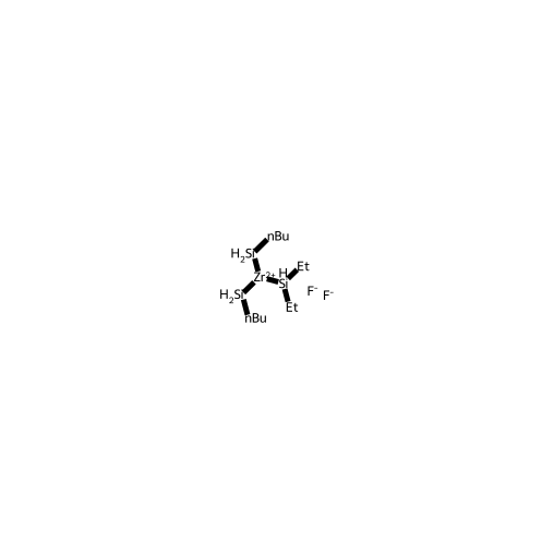 CCCC[SiH2][Zr+2]([SiH2]CCCC)[SiH](CC)CC.[F-].[F-]